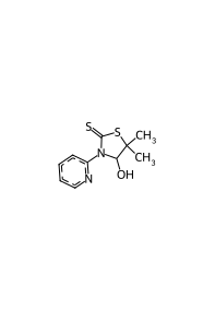 CC1(C)SC(=S)N(c2ccccn2)C1O